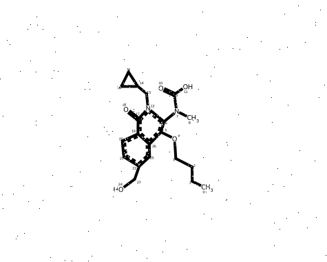 CCCCOc1c(N(C)C(=O)O)n(CC2CC2)c(=O)c2ccc(CO)cc12